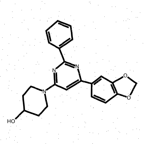 OC1CCN(c2cc(-c3ccc4c(c3)OCO4)nc(-c3ccccc3)n2)CC1